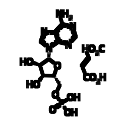 Nc1ncnc2c1ncn2[C@@H]1O[C@H](COP(=O)(O)O)[C@@H](O)[C@H]1O.O=C(O)/C=C/C(=O)O